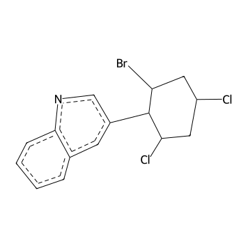 ClC1CC(Cl)C(c2cnc3ccccc3c2)C(Br)C1